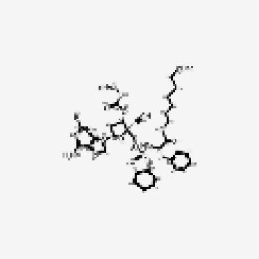 C#C[C@]1(CO[P@@](=O)(N[C@@H](Cc2ccccc2)C(=O)OCCCCCCCCCCCCCCCC)Oc2ccccc2)O[C@@H](n2cnc3c(N)nc(F)nc32)C[C@@H]1OC(=O)OCCCCCC